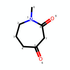 CN1CCCC(=O)CC1=O